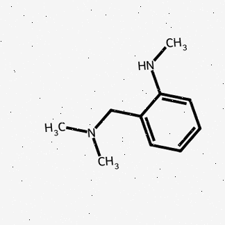 CNc1ccccc1CN(C)C